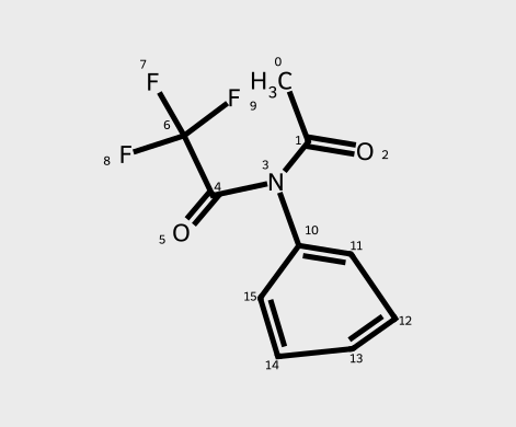 CC(=O)N(C(=O)C(F)(F)F)c1ccccc1